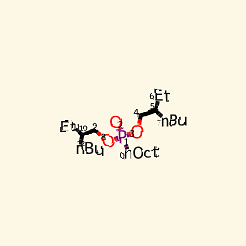 CCCCCCCCP(=O)(OCC(CC)CCCC)OCC(CC)CCCC